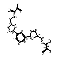 C=C(C)C(=O)SCC1CSC(c2cccc(C3SCC(CSC(=O)C(=C)C)S3)c2)S1